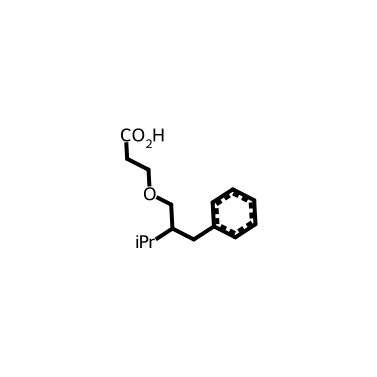 CC(C)C(COCCC(=O)O)Cc1ccccc1